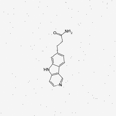 NC(=O)CCc1ccc2c(c1)[nH]c1ccncc12